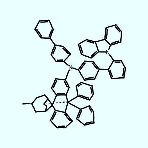 C[C@H]1CC2C[C@@H](C)CC(C1)C21c2ccccc2C(c2ccccc2)(c2ccccc2)c2cc(N(c3ccc(-c4ccccc4)cc3)c3ccc(-c4ccccc4-n4c5ccccc5c5ccccc54)cc3)ccc21